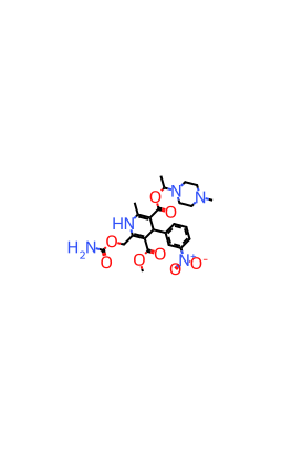 COC(=O)C1=C(COC(N)=O)NC(C)=C(C(=O)OC(C)N2CCN(C)CC2)C1c1cccc([N+](=O)[O-])c1